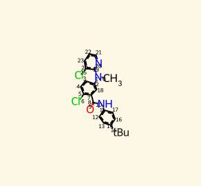 CN(c1ccc(Cl)c(C(=O)Nc2ccc(C(C)(C)C)cc2)c1)c1ncccc1Cl